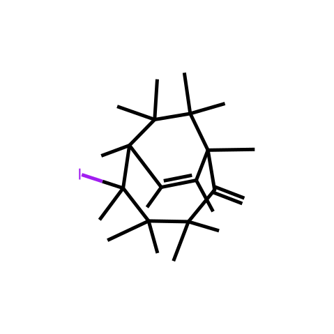 C=C1C(C)(C)C(C)(C)C(C)(I)C2(C)C(C)=C(C)C1(C)C(C)(C)C2(C)C